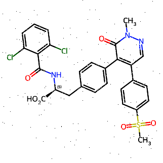 Cn1ncc(-c2ccc(S(C)(=O)=O)cc2)c(-c2ccc(C[C@H](NC(=O)c3c(Cl)cccc3Cl)C(=O)O)cc2)c1=O